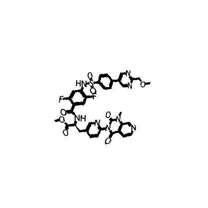 COCc1ncc(-c2ccc(S(=O)(=O)Nc3cc(F)c(C(=O)N[C@@H](Cc4ccc(-n5c(=O)c6ccncc6n(C)c5=O)nc4)C(=O)OC)cc3F)cc2)cn1